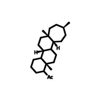 CC(=O)C1CCCC2[C@@H]3CC[C@]4(C)CC[C@@H](C)CC[C@@H]4C3CC[C@]12C